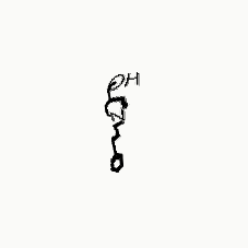 OCC1CCN(CCCCc2ccccc2)CC1